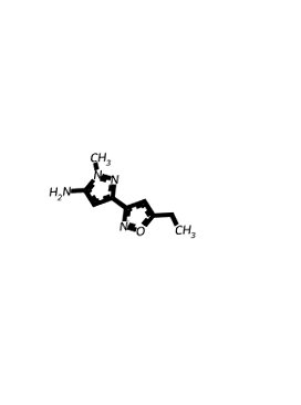 CCc1cc(-c2cc(N)n(C)n2)no1